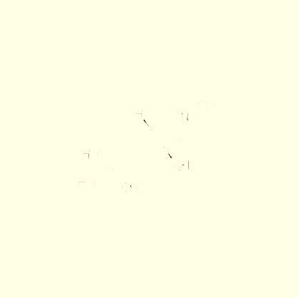 CN1C[C@H]2CC(C(C)(C)C)C[C@@]2(C)C1